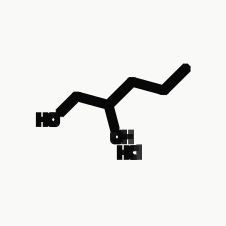 CCCC(O)CO.Cl